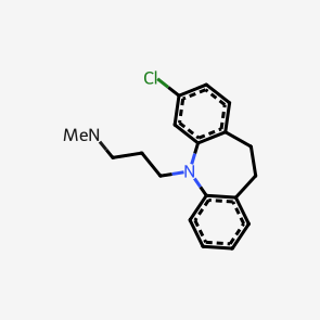 CNCCCN1c2ccccc2CCc2ccc(Cl)cc21